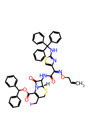 C=CCO/N=C(\C(=O)NC1C(=O)N2C(C(=O)OC(c3ccccc3)c3ccccc3)=C(CI)CS[C@@H]12)c1csc(NC(c2ccccc2)(c2ccccc2)c2ccccc2)n1